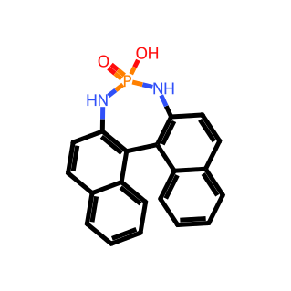 O=P1(O)Nc2ccc3ccccc3c2-c2c(ccc3ccccc23)N1